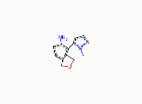 Cn1nccc1-c1c(N)ccc2c1COC2